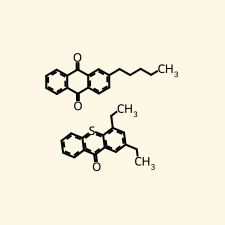 CCCCCc1ccc2c(c1)C(=O)c1ccccc1C2=O.CCc1cc(CC)c2sc3ccccc3c(=O)c2c1